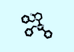 O=C1CCCC(c2nc(-c3ccccc3)cn2Cc2ccccc2)N1Cc1ccccc1